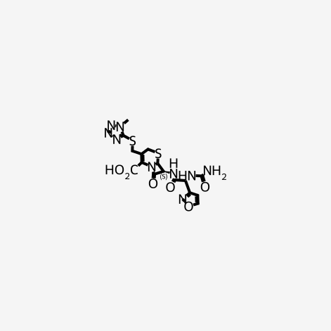 Cn1nnnc1SCC1=C(C(=O)O)N2C(=O)[C@H](NC(=O)C(NC(N)=O)c3ccon3)C2SC1